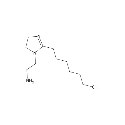 CCCCCCCC1=NCCN1CCN